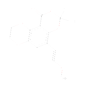 CC1(C)OC(=O)c2c(c(/C=C/OC=O)cc3c2OCCO3)O1